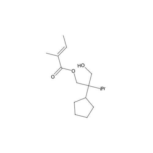 CC=C(C)C(=O)OCC(CO)(C(C)C)C1CCCC1